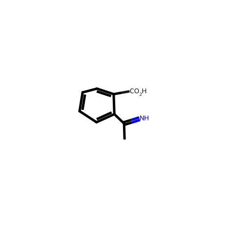 CC(=N)c1ccccc1C(=O)O